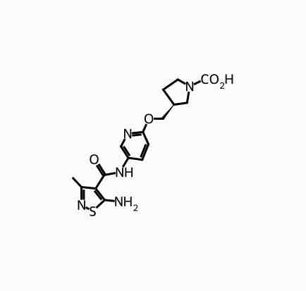 Cc1nsc(N)c1C(=O)Nc1ccc(OC[C@H]2CCN(C(=O)O)C2)nc1